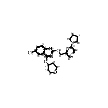 Clc1ccc2nc(OCc3cccc(N4CCCC4)n3)nc(OC3CCOCC3)c2c1